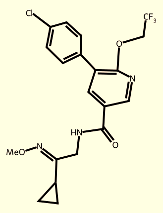 CON=C(CNC(=O)c1cnc(OCC(F)(F)F)c(-c2ccc(Cl)cc2)c1)C1CC1